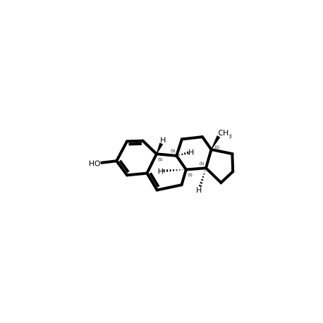 C[C@@]12CCC[C@H]1[C@H]1CC=C3C=C(O)C=C[C@@H]3[C@H]1CC2